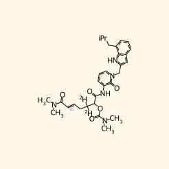 [2H]C([2H])(C/C=C/C(=O)N(C)C)C(OC(=O)N(C)C)C(=O)Nc1cccn(Cc2cc3cccc(CC(C)C)c3[nH]2)c1=O